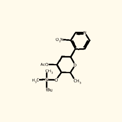 CC(=O)OC1CC(c2ccncc2[N+](=O)[O-])OC(C)C1O[Si](C)(C)C(C)(C)C